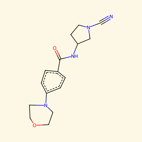 N#CN1CCC(NC(=O)c2ccc(N3CCOCC3)cc2)C1